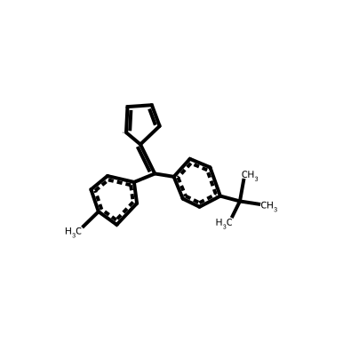 Cc1ccc(C(=C2[C]=CC=C2)c2ccc(C(C)(C)C)cc2)cc1